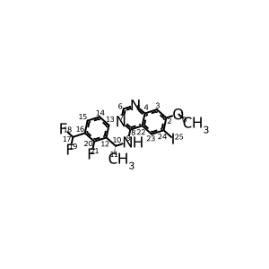 COc1cc2ncnc(N[C@H](C)c3cccc(C(F)F)c3F)c2cc1I